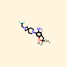 CC1(C)Cc2cc(N)c(N3CCC4(CC3)CN(CC(F)F)C4)cc2O1